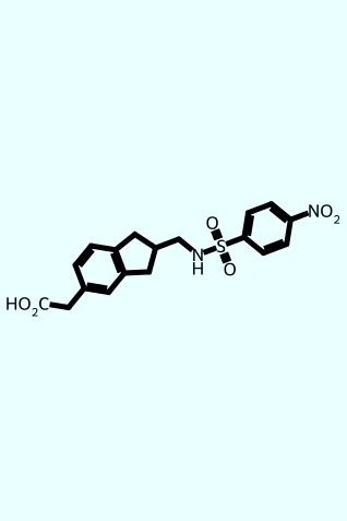 O=C(O)Cc1ccc2c(c1)CC(CNS(=O)(=O)c1ccc([N+](=O)[O-])cc1)C2